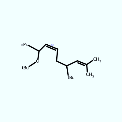 CCCC(/C=C\CC(C=C(C)C)C(C)(C)C)OC(C)(C)C